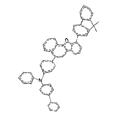 CC1(C)c2ccccc2-c2ccc(-c3cccc4c3oc3c5ccccc5c(-c5ccc(N(c6ccccc6)c6ccc(-c7ccccc7)cc6)cc5)cc43)cc21